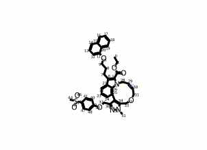 CCOC(=O)c1c(CCCOc2cccc3ccccc23)c2cccc3c2n1C/C=C\COCc1c-3c(COc2ccc(S(C)(=O)=O)cc2)nn1C